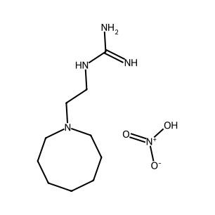 N=C(N)NCCN1CCCCCCC1.O=[N+]([O-])O